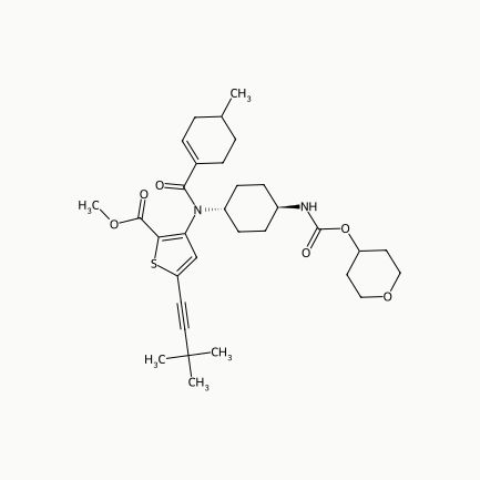 COC(=O)c1sc(C#CC(C)(C)C)cc1N(C(=O)C1=CCC(C)CC1)[C@H]1CC[C@H](NC(=O)OC2CCOCC2)CC1